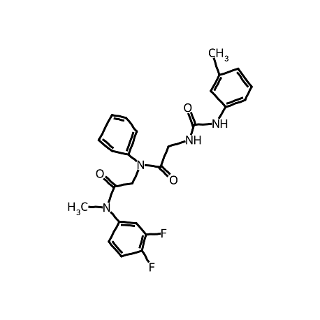 Cc1cccc(NC(=O)NCC(=O)N(CC(=O)N(C)c2ccc(F)c(F)c2)c2ccccc2)c1